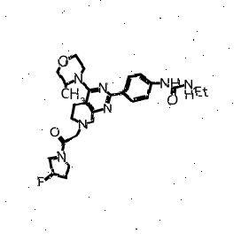 CCNC(=O)Nc1ccc(-c2nc3c(c(N4CCOCC4C)n2)CCN(CC(=O)N2CCC(F)C2)C3)cc1